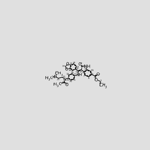 CCOC(=O)c1ccc2c(c1)NC(=O)C2=C(Nc1ccc(N(CCN(C)C)C(C)=O)cc1)c1ccc2c(c1)OCO2